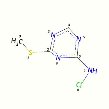 CSc1ncnc(NCl)n1